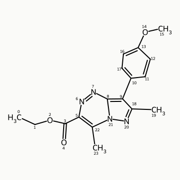 CCOC(=O)c1nnc2c(-c3ccc(OC)cc3)c(C)nn2c1C